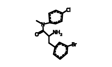 CN(C(=O)C(N)Cc1cccc(Br)c1)c1ccc(Cl)cc1